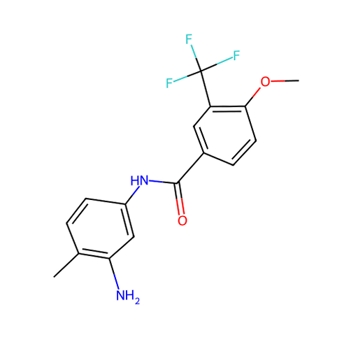 COc1ccc(C(=O)Nc2ccc(C)c(N)c2)cc1C(F)(F)F